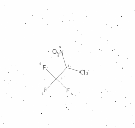 O=[N+]([O-])C(Cl)C(F)(F)F